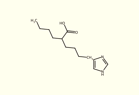 CCCCC(CCCC)C(=O)O.c1c[nH]cn1